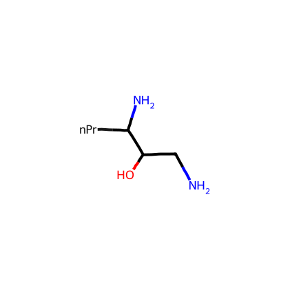 CCCC(N)C(O)CN